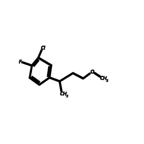 COCC[C](C)c1ccc(F)c(Cl)c1